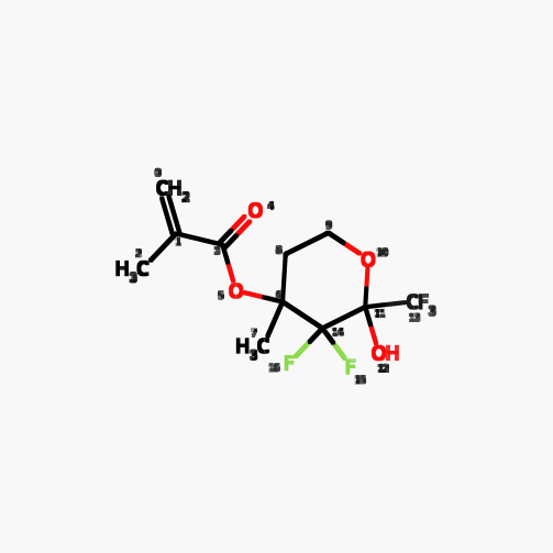 C=C(C)C(=O)OC1(C)CCOC(O)(C(F)(F)F)C1(F)F